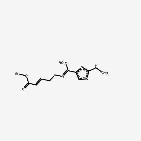 CC(C)(C)OC(=O)C=CCON=C(C(=O)O)c1csc(NC=O)n1